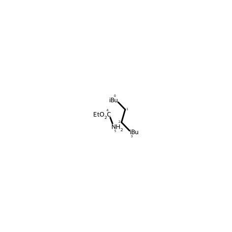 CCC(C)CCC(C)CC.CCOC(N)=O